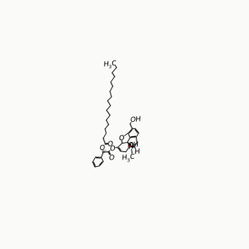 CCCCCCCCCCCCCCCCCC(=O)O[C@H](C(=O)OC1=CC[C@@]2(O)[C@H]3Cc4ccc(CO)c5c4C2(CCN3C)C1O5)c1ccccc1